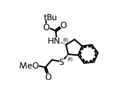 COC(=O)CS[C@@H]1c2ccccc2C[C@H]1NC(=O)OC(C)(C)C